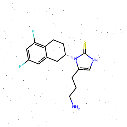 NCCCc1c[nH]c(=S)n1[C@H]1CCc2c(F)cc(F)cc2C1